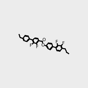 CCCc1ccc(-c2ccc(OC(=O)c3ccc(-c4ccc(CC)cc4)c(F)c3F)cc2)c(F)c1F